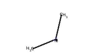 CCCCCCCCCCCCCCCCCCCCCCCCCCC/C=C/C1=C(/C=C/CCCCCCCCCCCCCCCCCCCCCCCCCCC)[N]C=C1